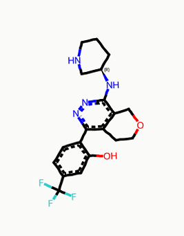 Oc1cc(C(F)(F)F)ccc1-c1nnc(N[C@@H]2CCCNC2)c2c1CCOC2